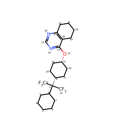 FC(F)(F)C(C1CCCCC1)([C@H]1CC[C@@H](Oc2ncnc3c2CCCC3)CC1)C(F)(F)F